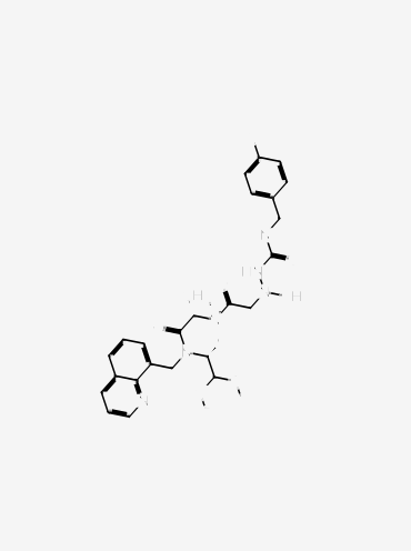 CCOC(OCC)[C@H](C)N(Cc1cccc2cccnc12)C(=O)[C@H](C)NC(=O)CN(C)NC(=O)NCc1ccc(Cl)cc1